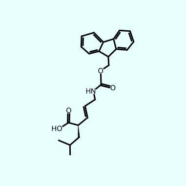 CC(C)C[C@H](/C=C/CNC(=O)OCC1c2ccccc2-c2ccccc21)C(=O)O